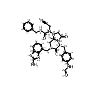 N#CCN(C(=O)NCc1ccccc1)N1CC(=O)N2[C@@H](Cc3ccc(NC=O)cc3)C(=O)N(Cc3cccc4sc(N)nc34)C[C@@H]21